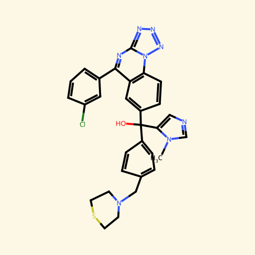 Cn1cncc1C(O)(c1ccc(CN2CCSCC2)cc1)c1ccc2c(c1)c(-c1cccc(Cl)c1)nc1nnnn12